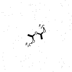 C=C(OC(=C)OC(F)(F)F)OC(F)(F)F